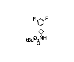 CC(C)(C)OC(=O)NC1CC(c2cc(F)cc(F)c2)C1